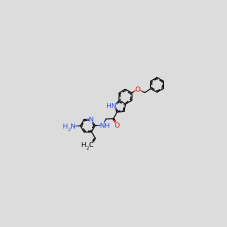 C=Cc1cc(N)cnc1NCC(=O)c1cc2cc(OCc3ccccc3)ccc2[nH]1